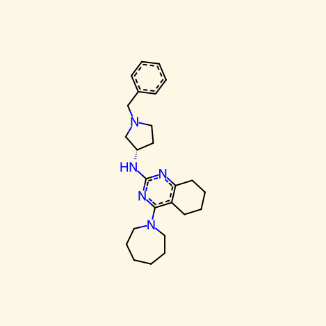 c1ccc(CN2CC[C@H](Nc3nc4c(c(N5CCCCCC5)n3)CCCC4)C2)cc1